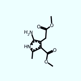 COC(=O)Cc1c(N)[nH]c(C)c1C(=O)OC